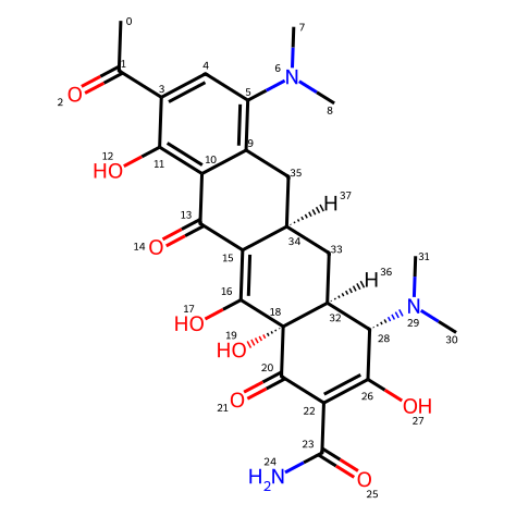 CC(=O)c1cc(N(C)C)c2c(c1O)C(=O)C1=C(O)[C@]3(O)C(=O)C(C(N)=O)=C(O)[C@@H](N(C)C)[C@@H]3C[C@@H]1C2